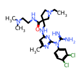 CCN1CCC(CNc2cc(C)nc(N(C(=N)N)c3ccc(Cl)c(Cl)c3)n2)(C(=O)NCCN(C)C)C1